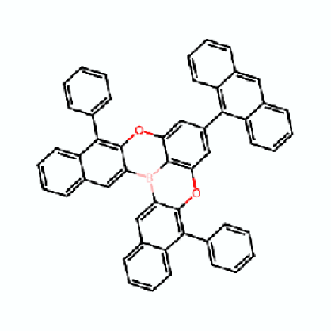 c1ccc(-c2c3c(cc4ccccc24)B2c4cc5ccccc5c(-c5ccccc5)c4Oc4cc(-c5c6ccccc6cc6ccccc56)cc(c42)O3)cc1